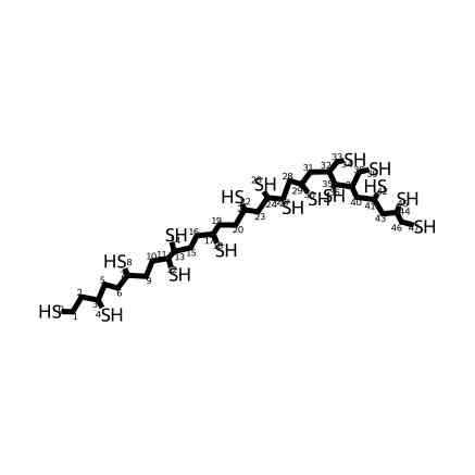 SCCC(S)CCC(S)CCC(S)C(S)CCC(S)CCC(S)CC(S)C(S)CC(S)CC(CS)C(S)C(CS)CC(S)CC(S)CS